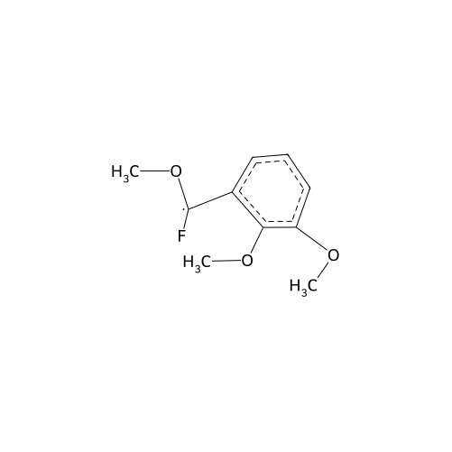 CO[C](F)c1cccc(OC)c1OC